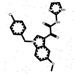 COc1ccc2c(c1)c(C(=O)C(=O)Nc1ncc[nH]1)cn2Cc1ccc(Cl)cc1